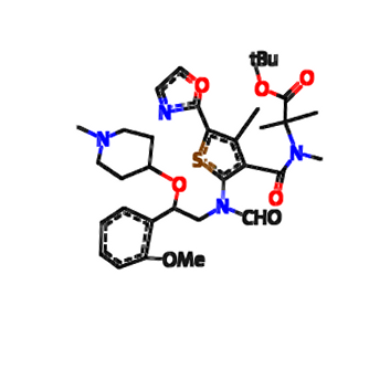 COc1ccccc1C(CN(C=O)c1sc(-c2ncco2)c(C)c1C(=O)N(C)C(C)(C)C(=O)OC(C)(C)C)OC1CCN(C)CC1